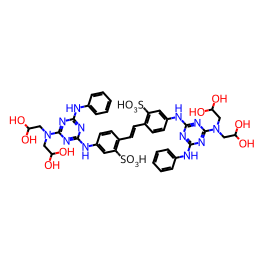 O=S(=O)(O)c1cc(Nc2nc(Nc3ccccc3)nc(N(CC(O)O)CC(O)O)n2)ccc1C=Cc1ccc(Nc2nc(Nc3ccccc3)nc(N(CC(O)O)CC(O)O)n2)cc1S(=O)(=O)O